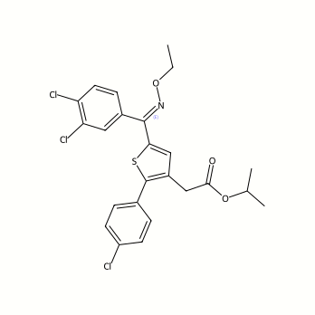 CCO/N=C(\c1ccc(Cl)c(Cl)c1)c1cc(CC(=O)OC(C)C)c(-c2ccc(Cl)cc2)s1